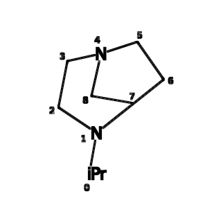 CC(C)N1CCN2CCC1C2